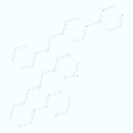 c1cnc(-c2ccc(Oc3c4ccccc4c(-c4cc5ccccc5c5ccccc45)c4cnccc34)cc2)nc1